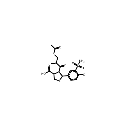 CC(=O)SCC(C)C(=O)N1C(C(=O)O)CSC1c1ccc(Cl)c(S(N)(=O)=O)c1